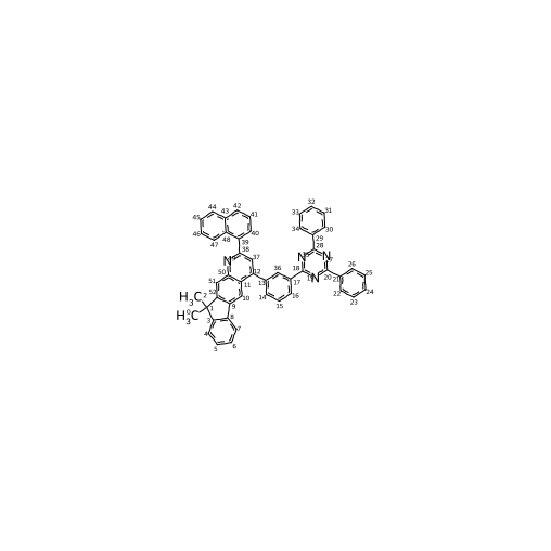 CC1(C)c2ccccc2-c2cc3c(-c4cccc(-c5nc(-c6ccccc6)nc(-c6ccccc6)n5)c4)cc(-c4cccc5ccccc45)nc3cc21